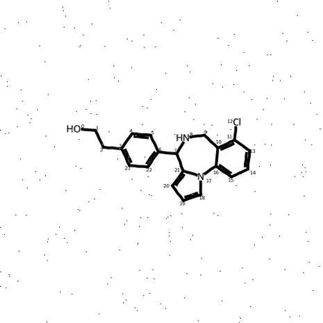 OCCc1ccc(C2NCc3c(Cl)cccc3-n3cccc32)cc1